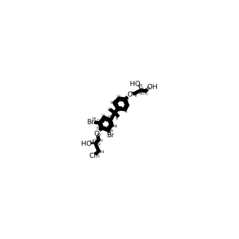 CC(C)(c1ccc(OC[C@H](O)CO)cc1)c1cc(Br)c(OC[C@H](O)CCl)c(Br)c1